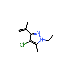 [CH2]Cn1nc(C(=C)C)c(Cl)c1C